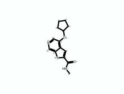 CNC(=O)c1cc2c(OC3CCCC3)cncc2s1